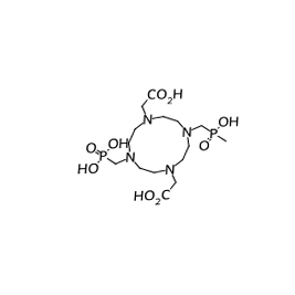 CP(=O)(O)CN1CCN(CC(=O)O)CCN(CP(=O)(O)O)CCN(CC(=O)O)CC1